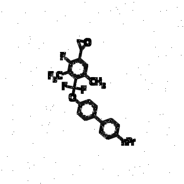 CCCc1ccc(-c2ccc(OC(F)(F)c3c(C)cc(C4CO4)c(F)c3C(F)(F)F)cc2)cc1